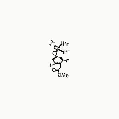 COC(=O)Cc1c(F)cc(O[Si](C(C)C)(C(C)C)C(C)C)cc1F